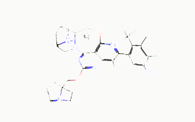 Cc1c(F)c(N)cc(-c2nc3c4c(nc(OCC56CCN5C[C@H](F)C6)nc4c2F)N2C[C@H]4CC[C@H](N4)[C@H]2[C@H](C)O3)c1C(F)(F)F